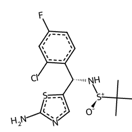 CC(C)(C)[S@@+]([O-])N[C@H](c1cnc(N)s1)c1ccc(F)cc1Cl